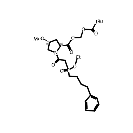 CCOP(=O)(CCCCc1ccccc1)CC(=O)N1C[C@H](OC)C[C@H]1C(=O)OCOC(=O)C(C)(C)C